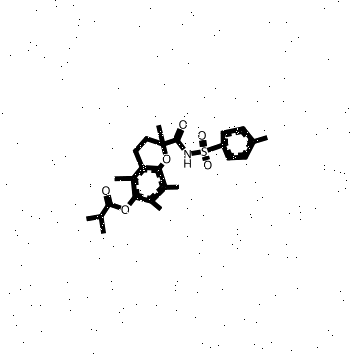 Cc1ccc(S(=O)(=O)NC(=O)C2(C)CCc3c(C)c(OC(=O)C(C)C)c(C)c(C)c3O2)cc1